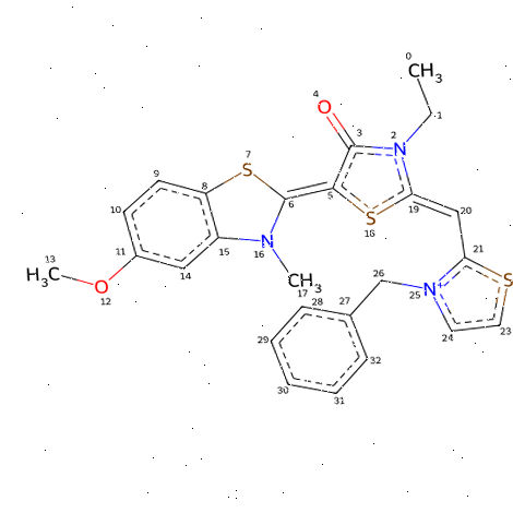 CCn1c(=O)/c(=C2\Sc3ccc(OC)cc3N2C)s/c1=C\c1scc[n+]1Cc1ccccc1